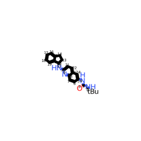 CC(C)(C)NC(=O)Nc1ccc2nc(N[C@@H]3CCc4ccccc43)ccc2c1